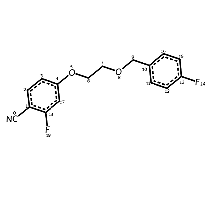 N#Cc1ccc(OCCOCc2ccc(F)cc2)cc1F